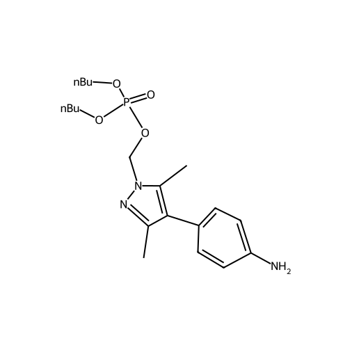 CCCCOP(=O)(OCCCC)OCn1nc(C)c(-c2ccc(N)cc2)c1C